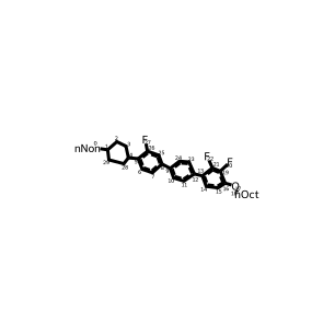 CCCCCCCCCC1CCC(c2ccc(-c3ccc(-c4ccc(OCCCCCCCC)c(F)c4F)cc3)cc2F)CC1